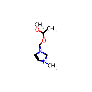 COC(C)OCN1C=CN(C)C1